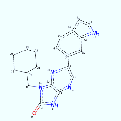 O=c1[nH]c2ncc(-c3ccc4cc[nH]c4c3)nc2n1CC1CCCCC1